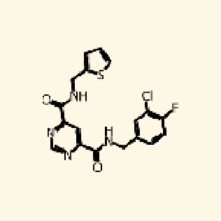 O=C(NCc1ccc(F)c(Cl)c1)c1cc(C(=O)NCc2cccs2)ncn1